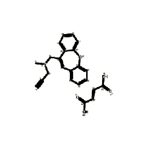 C#CCN(C)CC1=Cc2ccccc2Oc2ccccc21.O=C(O)C=CC(=O)O